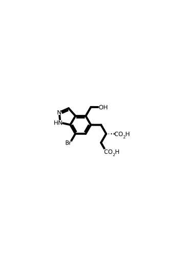 O=C(O)C[C@H](Cc1cc(Br)c2[nH]ncc2c1CO)C(=O)O